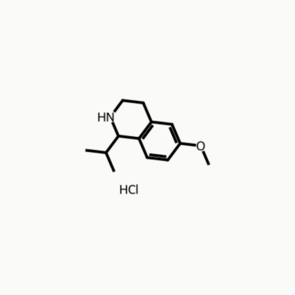 COc1ccc2c(c1)CCNC2C(C)C.Cl